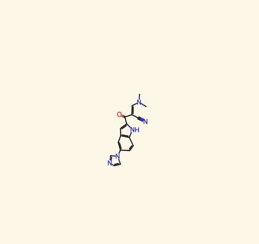 CN(C)C=C(C#N)C(=O)c1cc2cc(-n3ccnc3)ccc2[nH]1